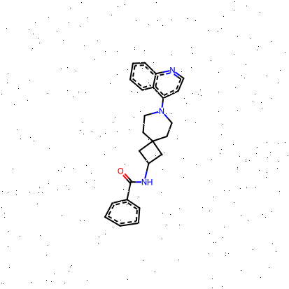 O=C(NC1CC2(CCN(c3ccnc4ccccc34)CC2)C1)c1ccccc1